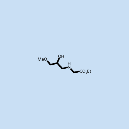 CCOC(=O)CNCC(O)COC